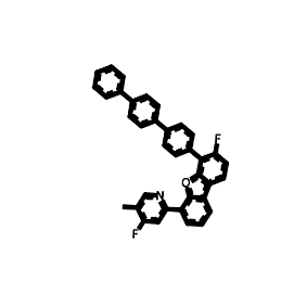 Cc1cnc(-c2cccc3c2oc2c(-c4ccc(-c5ccc(-c6ccccc6)cc5)cc4)c(F)ccc23)cc1F